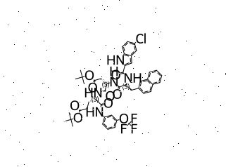 CC(C)(C)OC(=O)CC[C@H](NC(=O)[C@H](CC(=O)OC(C)(C)C)NC(=O)[C@H](Cc1ccc2ccccc2c1)NC(=O)c1cc2cc(Cl)ccc2[nH]1)C(=O)Nc1cccc(OC(F)(F)F)c1